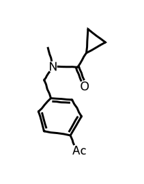 CC(=O)c1ccc(CN(C)C(=O)C2CC2)cc1